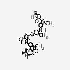 C[C@H]1CC2(CC[C@H]1Nc1ccc3c(C4CCC(=O)NC4=O)nn(C)c3c1)CN(c1ncc(Cl)c(Nc3ccc4c(c3)c3c(c(=O)n4C)OCC(F)(F)C(C4CC4)N3)n1)C2